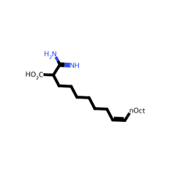 CCCCCCCC/C=C\CCCCCCC(C(=N)N)C(=O)O